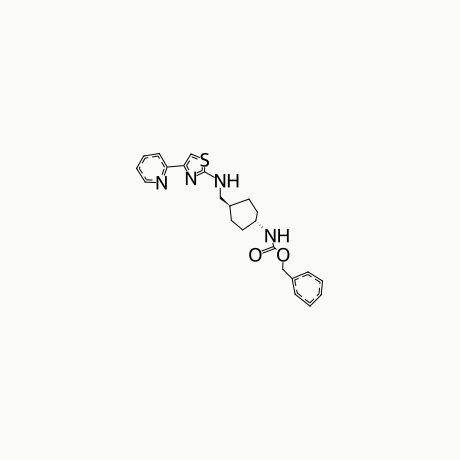 O=C(N[C@H]1CC[C@H](CNc2nc(-c3ccccn3)cs2)CC1)OCc1ccccc1